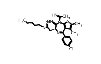 CCCCCNC(=O)C[C@@H]1N=C(c2ccc(Cl)cc2)c2c(sc(C)c2C)N(C(C)=N)C1=N